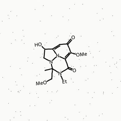 CCN1C(=O)c2c(OC)c(=O)cc3n2N(CC3O)C1(C)COC